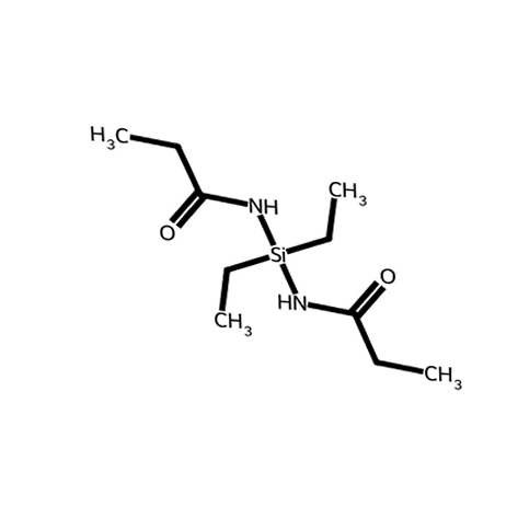 CCC(=O)N[Si](CC)(CC)NC(=O)CC